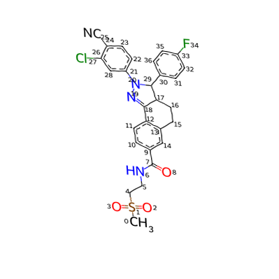 CS(=O)(=O)CCNC(=O)c1ccc2c(c1)CCC1C2=NN(c2ccc(C#N)c(Cl)c2)C1c1ccc(F)cc1